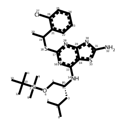 CC(C)C[C@H](CO[Si](C)(C)C(C)(C)C)Nc1nc(SC(C)c2ccccc2Cl)nc2nc(N)sc12